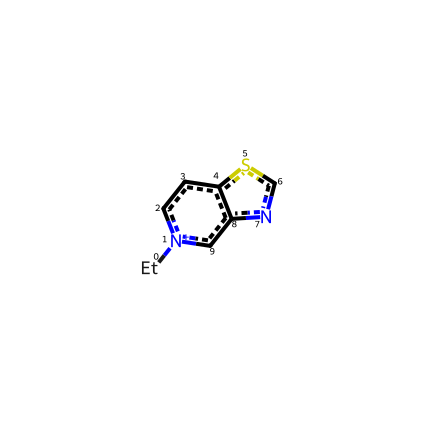 CC[n+]1ccc2scnc2c1